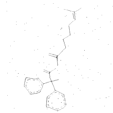 CC(=CCCCCC(=O)OC(=O)C(Cl)(c1ccccc1)c1ccccc1)C(=O)O